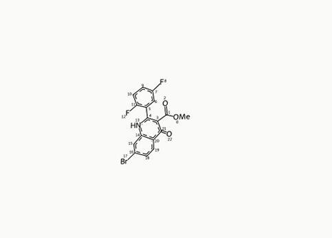 COC(=O)c1c(-c2cc(F)ccc2F)[nH]c2cc(Br)ccc2c1=O